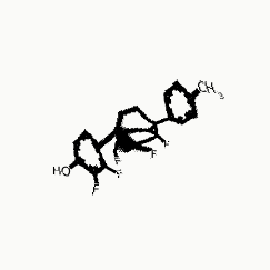 Cc1ccc(C23CCC(c4ccc(O)c(F)c4F)(CC2)C(F)(F)C3F)cc1